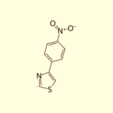 O=[N+]([O-])c1ccc(-c2cs[c]n2)cc1